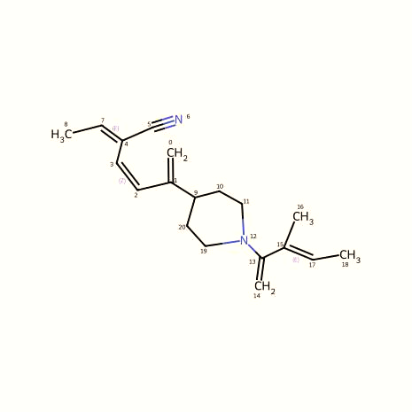 C=C(/C=C\C(C#N)=C/C)C1CCN(C(=C)/C(C)=C/C)CC1